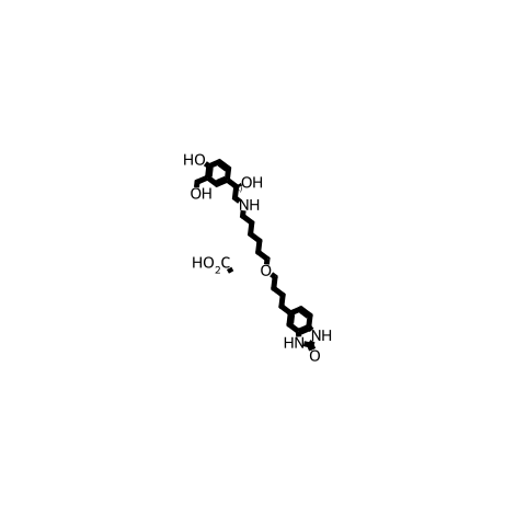 CC(=O)O.O=c1[nH]c2ccc(CCCCOCCCCCCNC[C@H](O)c3ccc(O)c(CO)c3)cc2[nH]1